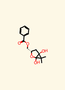 CC1(C)C2(O)O[C@H](COC(=O)c3ccccc3)C[C@]12O